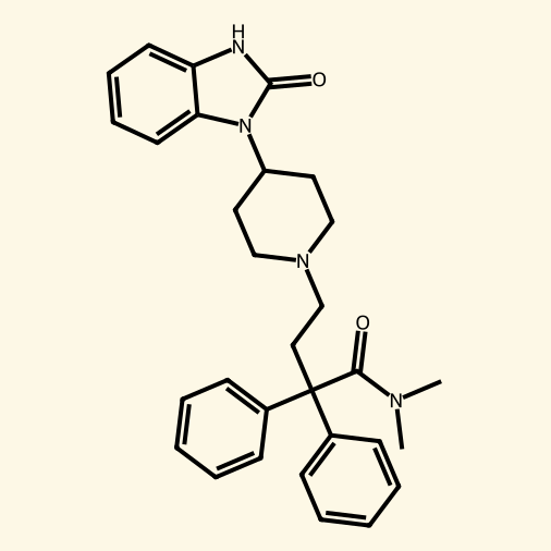 CN(C)C(=O)C(CCN1CCC(n2c(=O)[nH]c3ccccc32)CC1)(c1ccccc1)c1ccccc1